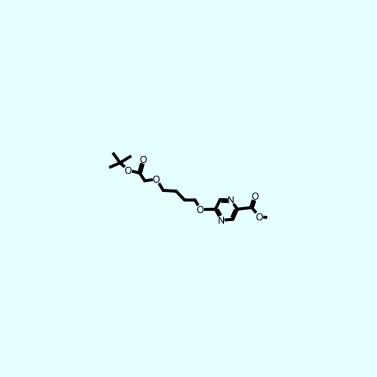 COC(=O)c1cnc(OCCCCOCC(=O)OC(C)(C)C)cn1